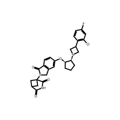 O=C1NC(=O)C2(N3Cc4cc(O[C@@H]5CCC[C@@H]5N5CC(c6ccc(F)cc6Cl)C5)ccc4C3=O)CC1C2